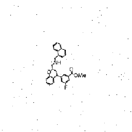 COC(=O)c1cc(F)cc(C2CC(CNCc3cccc4ccccc34)Oc3ccccc32)c1